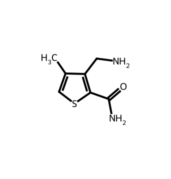 Cc1csc(C(N)=O)c1CN